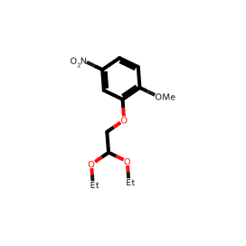 CCOC(COc1cc([N+](=O)[O-])ccc1OC)OCC